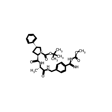 COC(=O)NC(=N)c1ccc(CNC(=O)[C@H](C)NC(=O)[C@H]2C[C@H](c3ccccc3)CN2C(=O)OC(C)(C)C)cc1